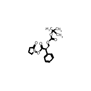 CC(C)(C)OC(=O)OC[C@H](C(=O)ON1CCCC1=O)c1ccccc1